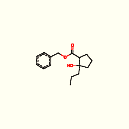 CCCC1(O)CCCC1C(=O)OCc1ccccc1